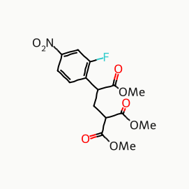 COC(=O)C(CC(C(=O)OC)c1ccc([N+](=O)[O-])cc1F)C(=O)OC